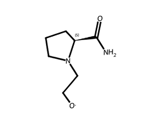 NC(=O)[C@@H]1CCCN1CC[O]